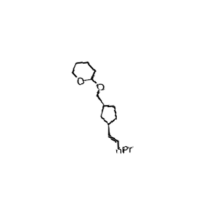 CCC/C=C/[C@@H]1CC[C@H](COC2CCCCO2)C1